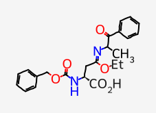 CCOC(C[C@H](NC(=O)OCc1ccccc1)C(=O)O)=NC(C)C(=O)c1ccccc1